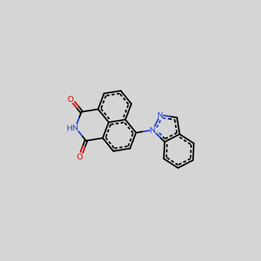 O=C1NC(=O)c2ccc(-n3ncc4ccccc43)c3cccc1c23